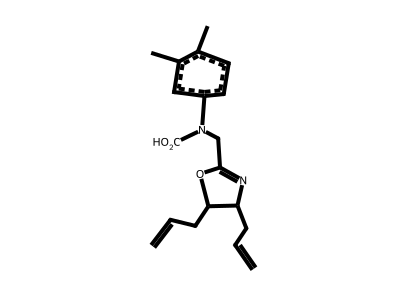 C=CCC1N=C(CN(C(=O)O)c2ccc(C)c(C)c2)OC1CC=C